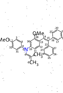 COc1ccc(N(C=C(C)C)c2ccc(C=C(c3ccccc3)c3ccccc3)c(OC)c2)cc1